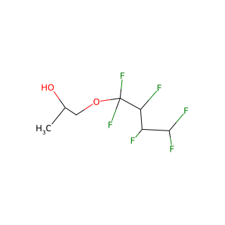 CC(O)COC(F)(F)C(F)C(F)C(F)F